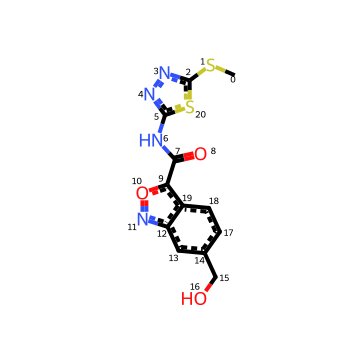 CSc1nnc(NC(=O)c2onc3cc(CO)ccc23)s1